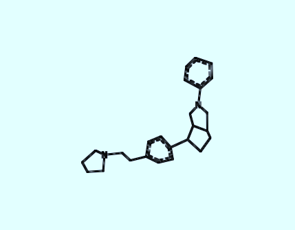 c1ccc(N2CC3CCC(c4ccc(CCN5CCCC5)cc4)C3C2)cc1